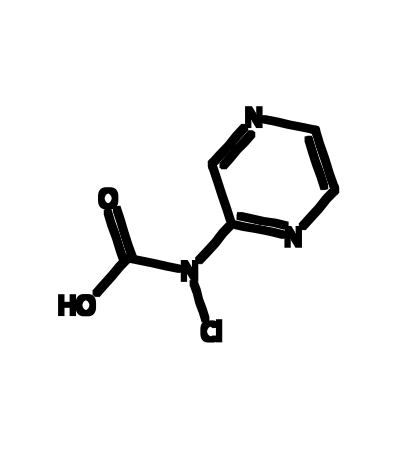 O=C(O)N(Cl)c1cnccn1